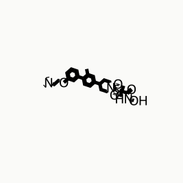 Cc1cc(C2CCN(S(=O)(=O)C(C)(C)C(=O)NO)CC2)ccc1-c1cccc(OCCN(C)C)c1